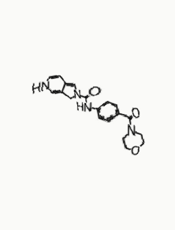 O=C(Nc1ccc(C(=O)N2CCOCC2)cc1)N1C=C2C=CNC=C2C1